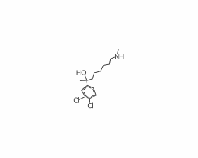 CNCCCCCC[C@@](C)(O)c1ccc(Cl)c(Cl)c1